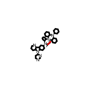 c1ccc(N2c3ccccc3[Si]3(c4ccccc42)c2ccccc2N(c2ccc4c(c2)c2ncccc2n4-c2ccncn2)c2ccccc23)cc1